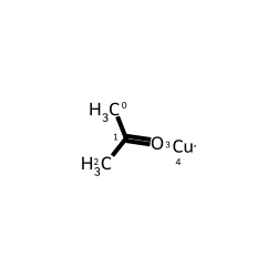 CC(C)=O.[Cu]